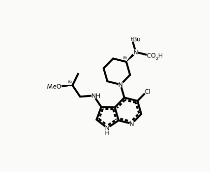 CO[C@@H](C)CNc1c[nH]c2ncc(Cl)c(N3CCC[C@@H](N(C(=O)O)C(C)(C)C)C3)c12